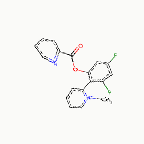 C[n+]1ccccc1-c1c(F)cc(F)cc1OC(=O)c1ccccn1